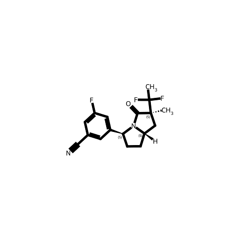 CC(F)(F)[C@@]1(C)C[C@@H]2CC[C@@H](c3cc(F)cc(C#N)c3)N2C1=O